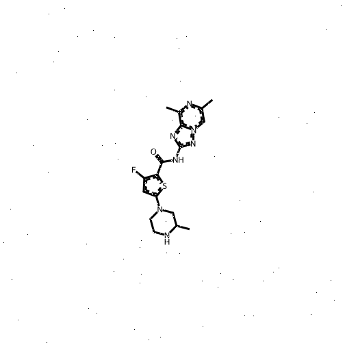 Cc1cn2nc(NC(=O)c3sc(N4CCNC(C)C4)cc3F)nc2c(C)n1